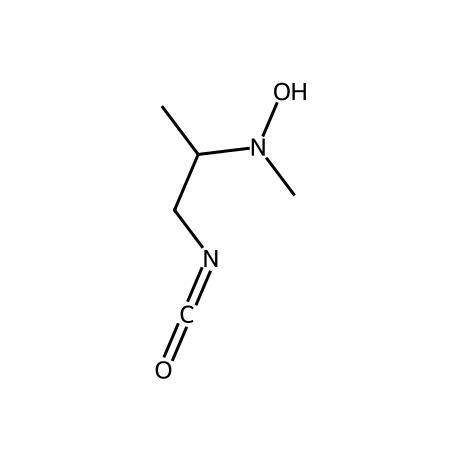 CC(CN=C=O)N(C)O